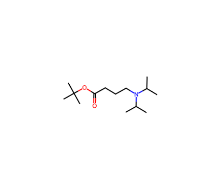 CC(C)N(CCCC(=O)OC(C)(C)C)C(C)C